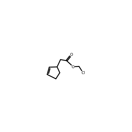 O=C(CC1C=CCC1)OCCl